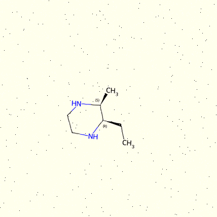 CC[C@H]1NCCN[C@H]1C